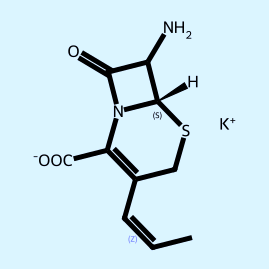 C/C=C\C1=C(C(=O)[O-])N2C(=O)C(N)[C@@H]2SC1.[K+]